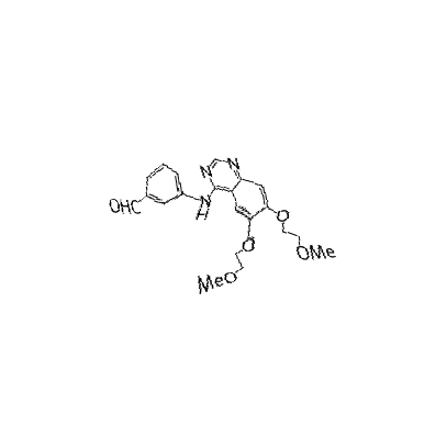 COCCOc1cc2ncnc(Nc3cccc(C=O)c3)c2cc1OCCOC